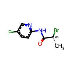 C[C@@H](Br)C(=O)Nc1ccc(F)cn1